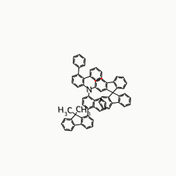 CC1(C)c2ccccc2-c2cccc(-c3ccc(N(c4ccc5c(c4)C4(c6ccccc6-c6ccccc64)c4ccccc4-5)c4cccc(-c5ccccc5)c4-c4ccccc4)c4ccccc34)c21